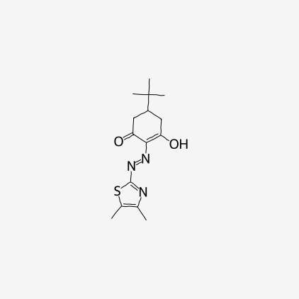 Cc1nc(N=NC2=C(O)CC(C(C)(C)C)CC2=O)sc1C